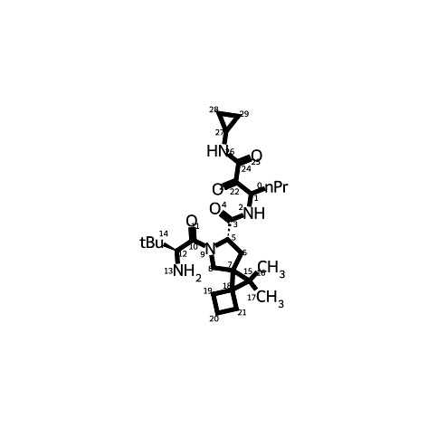 CCCC(NC(=O)[C@@H]1CC2(CN1C(=O)[C@@H](N)C(C)(C)C)C(C)(C)C21CCC1)C(=O)C(=O)NC1CC1